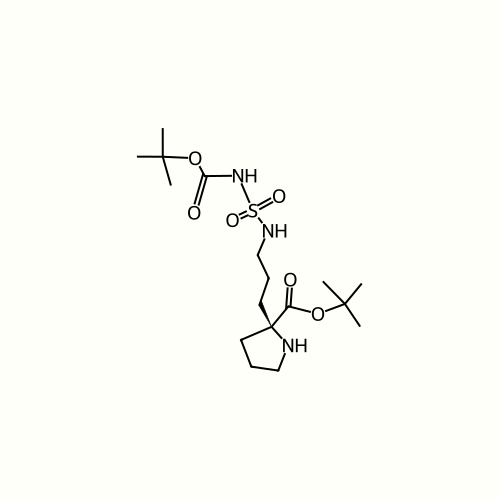 CC(C)(C)OC(=O)NS(=O)(=O)NCCC[C@]1(C(=O)OC(C)(C)C)CCCN1